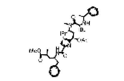 CC[C@H](C)[C@H](N[C@@H](C)c1ccccc1)C(=O)N(C)[C@H](C[C@@H](OC(C)=O)c1nc(C(=O)N[C@@H](Cc2ccccc2)C[C@H](C)C(=O)OC)cs1)C(C)C